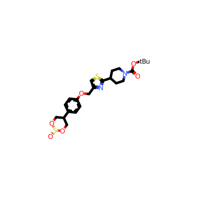 CC(C)(C)OC(=O)N1CCC(c2nc(COc3ccc(C4COS(=O)OC4)cc3)cs2)CC1